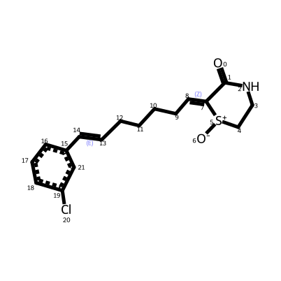 O=C1NCC[S+]([O-])/C1=C\CCCC/C=C/c1cccc(Cl)c1